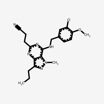 CCCc1nn(C)c2c(NCc3ccc(OC)c(Cl)c3)nc(CCC#N)nc12